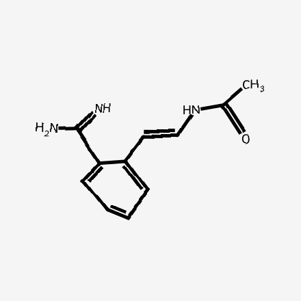 CC(=O)NC=Cc1ccccc1C(=N)N